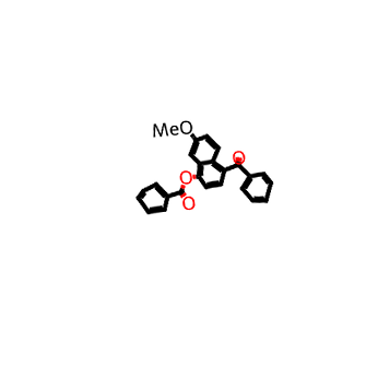 COc1ccc2c(C(=O)c3ccccc3)ccc(OC(=O)c3ccccc3)c2c1